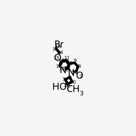 CC1(O)CC(N2C(=O)CCc3cc(OCCBr)cnc32)C1